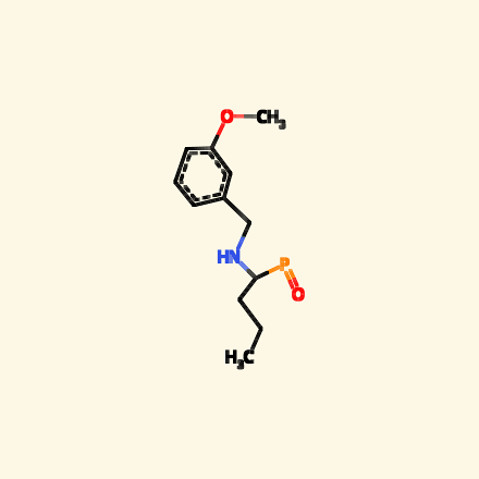 CCCC(NCc1cccc(OC)c1)P=O